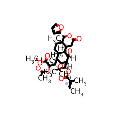 C/C=C(\C)C(=O)O[C@@H]1[C@H]2C(=O)[C@](C)([C@H]3CC[C@]4(C)[C@@H](CC(=O)O[C@H]4c4ccco4)[C@]34O[C@H]24)[C@@H]([C@@H](OC(C)=O)C(=O)OC)C1(C)C